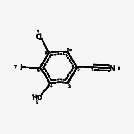 N#Cc1cc(O)c(I)c(Cl)c1